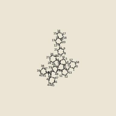 c1ccc(-c2cc(-c3ccc(-c4ccc5ccccc5c4)cc3)c(-c3ccccc3)c3c4ccc(N(c5ccccc5)c5ccccc5)cc4c4ccccc4c23)cc1